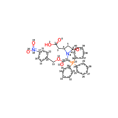 O=C(O)CC1CC(=O)N1C(C(=O)OCc1ccc([N+](=O)[O-])cc1)=P(c1ccccc1)(c1ccccc1)c1ccccc1